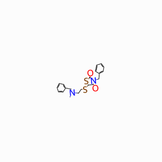 CN(CCSC1SC(=O)N(Cc2ccccc2)C1=O)Cc1ccccc1